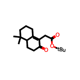 CC(C)(C)OC(=O)CC1=C2CCCC(C)(C)C2CCC1=O